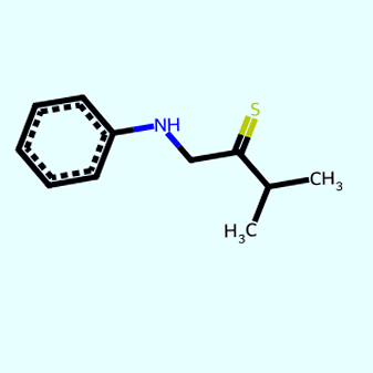 CC(C)C(=S)CNc1ccccc1